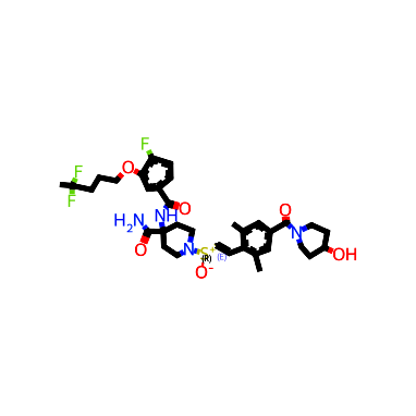 Cc1cc(C(=O)N2CCC(O)CC2)cc(C)c1/C=C/[S@+]([O-])N1CCC(NC(=O)c2ccc(F)c(OCCCC(C)(F)F)c2)(C(N)=O)CC1